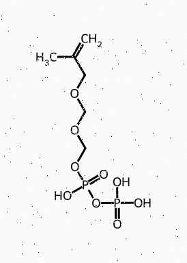 C=C(C)COCOCOP(=O)(O)OP(=O)(O)O